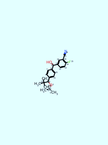 C[SiH](C)OC(c1ccc(C(O)c2ccc(F)c(C#N)c2)cc1)C(C)(C)C